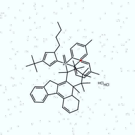 Cl.Cl.[CH2]=[Zr]([C]1=CC(C(C)(C)C)=CC1CCCC)([c]1ccc(C)cc1)([c]1ccc(C)cc1)[C]1(C)C2=C3Cc4ccccc4C3=C3C=CCCC3C2(C)C(C)(C)C(C)(C)C1(C)C